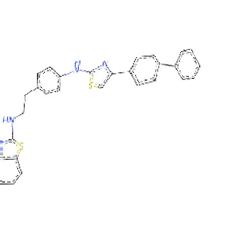 c1ccc(-c2ccc(-c3csc(Nc4ccc(CCNc5nc6ccccc6s5)cc4)n3)cc2)cc1